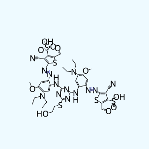 CCN(CC)c1cc(Nc2nc(Nc3cc(N(CC)CC)c(OC)cc3/N=N/c3sc(C=O)c(S(=O)(=O)O)c3C#N)nc(SCCO)n2)c(/N=N/c2sc(C=O)c(S(=O)O)c2C#N)cc1OC